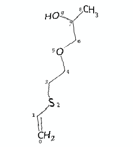 C=CSCCOCC(C)O